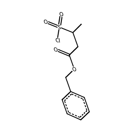 CC(CC(=O)OCc1ccccc1)S(=O)(=O)Cl